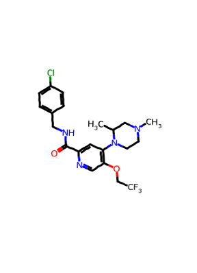 CC1CN(C)CCN1c1cc(C(=O)NCc2ccc(Cl)cc2)ncc1OCC(F)(F)F